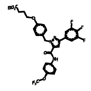 CCOC(=O)CCCOc1ccc(Cn2nc(-c3cc(F)c(F)c(F)c3)cc2C(=O)Nc2ccc(OC(F)(F)F)cc2)cc1